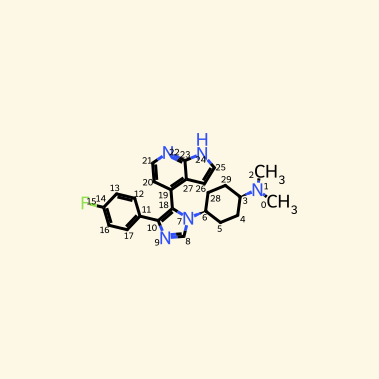 CN(C)[C@H]1CC[C@@H](n2cnc(-c3ccc(F)cc3)c2-c2ccnc3[nH]ccc23)CC1